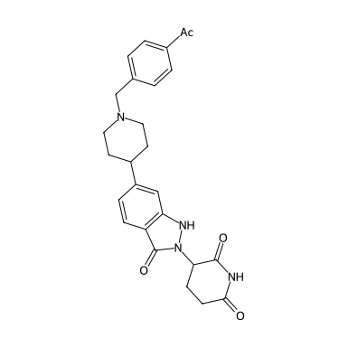 CC(=O)c1ccc(CN2CCC(c3ccc4c(=O)n(C5CCC(=O)NC5=O)[nH]c4c3)CC2)cc1